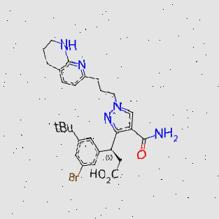 CC(C)(C)c1cc(Br)cc([C@H](CC(=O)O)c2nn(CCCc3ccc4c(n3)NCCC4)cc2C(N)=O)c1